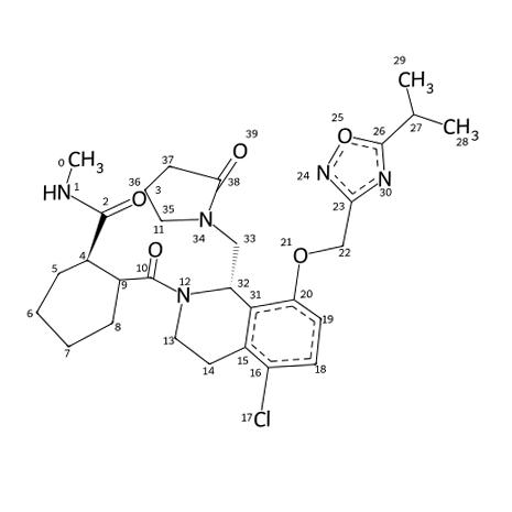 CNC(=O)[C@@H]1CCCCC1C(=O)N1CCc2c(Cl)ccc(OCc3noc(C(C)C)n3)c2[C@H]1CN1CCCC1=O